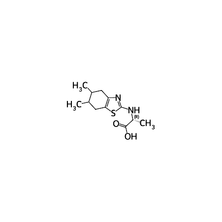 CC1Cc2nc(N[C@H](C)C(=O)O)sc2CC1C